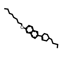 CCCCCCCCOc1ccc2cc(C3=CCC(CCCC)CC3)ccc2c1